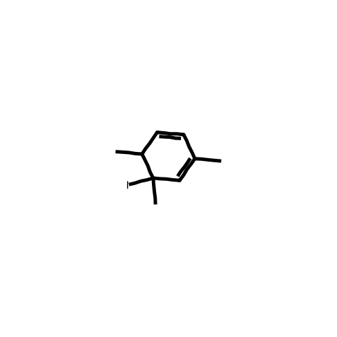 CC1=CC(C)(I)C(C)C=C1